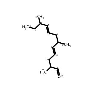 CCC(C)/C=C/CC(C)/C=C/CC(C)C=O